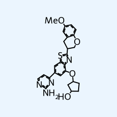 COc1ccc2c(c1)CC(c1nc3c(OC4CCC(O)C4)cc(-c4ccnc(N)n4)cc3s1)CO2